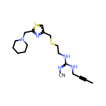 CC#CCNC(=NC#N)NCCSCc1csc(CN2CCCCC2)n1